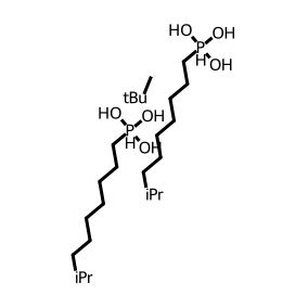 CC(C)(C)C.CC(C)CCCCCCC[PH](O)(O)O.CC(C)CCCCCCC[PH](O)(O)O